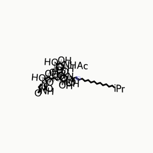 CC(=O)N[C@H]1[C@@H](O[C@@H]2O[C@H](C[C@@H](O)[C@H]3O[C@@H](n4ccc(=O)[nH]c4=O)[C@H](O)[C@@H]3O)[C@H](O)[C@H](O)[C@H]2NC(=O)/C=C/CCCCCCCCCCCC(C)C)O[C@H](CO)[C@@H](O)[C@@H]1O